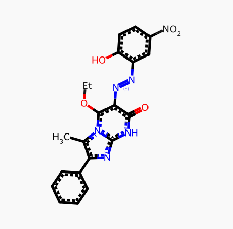 CCOc1c(/N=N/c2cc([N+](=O)[O-])ccc2O)c(=O)[nH]c2nc(-c3ccccc3)c(C)n12